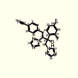 N#Cc1ccc(CC(n2cncn2)C(O)(Cn2cncn2)c2ccc(F)cc2F)cc1